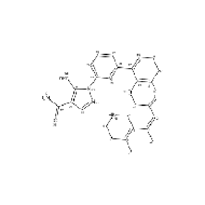 C=C(/C=C(/C)C1=C(C)CCNC1)COC1=C(C)CCC=C1c1cccc(-n2ncc(C(=O)N=O)c2CCC)n1